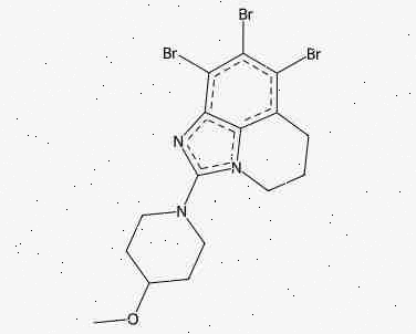 COC1CCN(c2nc3c(Br)c(Br)c(Br)c4c3n2CCC4)CC1